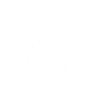 CC(C)c1ncc(-c2cnc3ccccc3c2)cc1N